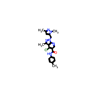 Cc1ccc(NC(=O)c2cnc3c(c(C)nn3Cc3cc(C)nn3C)c2Cl)cc1